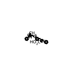 Cc1oc(-c2ccccc2)nc1CCOc1cccc(C[C@H]2CN(c3ccccc3)C[C@@H]2C(=O)O)c1